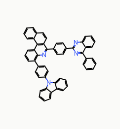 c1ccc(-c2nc(-c3ccc(-c4nc5c(-c6ccc(-n7c8ccccc8c8ccccc87)cc6)cccc5c5c4ccc4ccccc45)cc3)nc3ccccc23)cc1